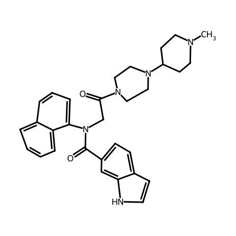 CN1CCC(N2CCN(C(=O)CN(C(=O)c3ccc4cc[nH]c4c3)c3cccc4ccccc34)CC2)CC1